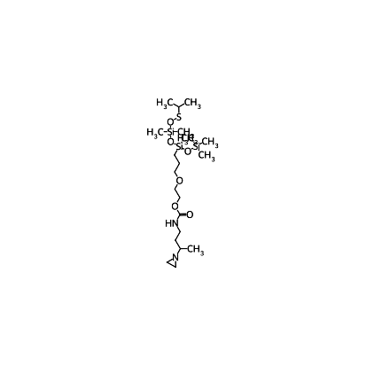 CC(C)SO[Si](C)(C)O[Si](C)(CCCOCCOC(=O)NCCC(C)N1CC1)O[Si](C)(C)C